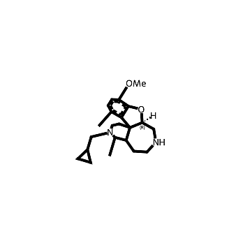 COc1ccc(C)c2c1O[C@H]1CNCCC3C(C)N(CC4CC4)CCC231